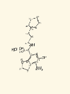 Cl.Nc1c(Cl)cc(C(=O)NCCCN2CCCCC2)c2c1CCO2.O